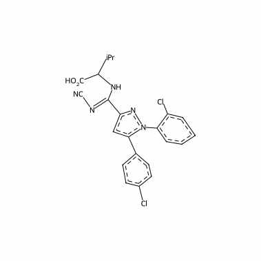 CC(C)C(NC(=NC#N)c1cc(-c2ccc(Cl)cc2)n(-c2ccccc2Cl)n1)C(=O)O